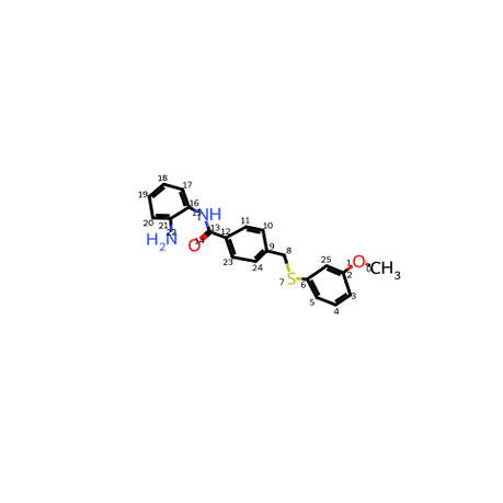 COc1cccc(SCc2ccc(C(=O)Nc3ccccc3N)cc2)c1